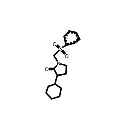 O=C1C(C2CCCCC2)CCN1CS(=O)(=O)c1ccccc1